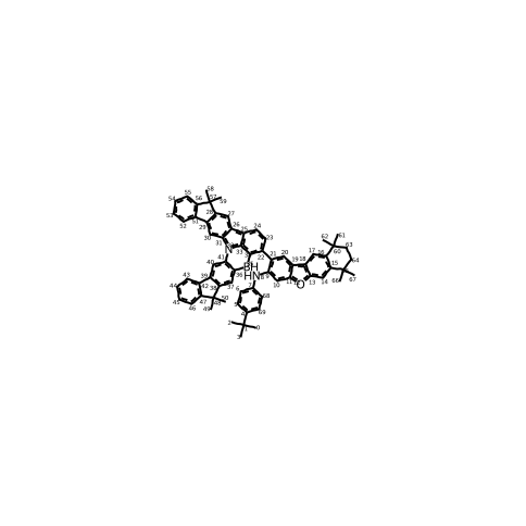 CC(C)(C)c1ccc(Nc2cc3oc4cc5c(cc4c3cc2-c2ccc3c4cc6c(cc4n4c3c2Bc2cc3c(cc2-4)-c2ccccc2C3(C)C)-c2ccccc2C6(C)C)C(C)(C)CCC5(C)C)cc1